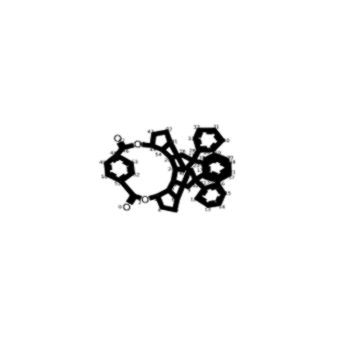 O=C1OC2CCC3C2C2CC(c4ccccc4)(c4ccccc4)C3C23C2CC(c4ccccc4)(c4ccccc4)C3C3CCC(OC(=O)c4ccc1cc4)C32